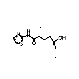 O=C(O)CCCC(=O)Nc1nccs1